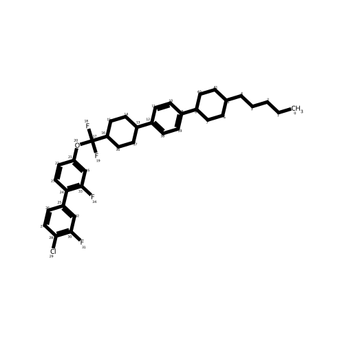 CCCCCC1CCC(c2ccc(C3CCC(C(F)(F)Oc4ccc(-c5ccc(Cl)c(F)c5)c(F)c4)CC3)cc2)CC1